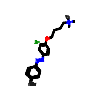 CCCCc1ccc(N=Nc2ccc(OCCCC[N+](C)(C)CC)cc2)cc1.[Br-]